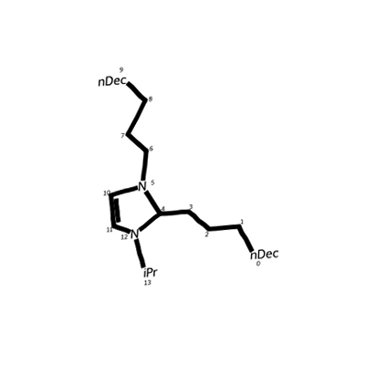 CCCCCCCCCCCCCC1N(CCCCCCCCCCCCC)C=CN1C(C)C